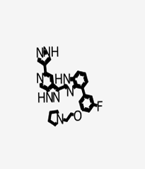 Fc1cc(OCCN2CCCC2)cc(-c2cccc3[nH]c(-c4n[nH]c5cnc(-c6cn[nH]c6)cc45)nc23)c1